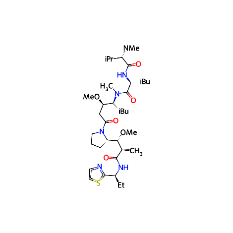 CC[C@H](NC(=O)[C@H](C)[C@@H](OC)[C@@H]1CCCN1C(=O)C[C@@H](OC)[C@H]([C@@H](C)CC)N(C)C(=O)[C@@H](NC(=O)[C@@H](NC)C(C)C)[C@H](C)CC)c1nccs1